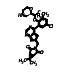 Cc1cc(Cl)cc(-c2ncnn3cc(CN4C(=O)C5C(C4=O)C5(C)C)cc23)c1O[C@H](C)[C@@H]1CNCCO1